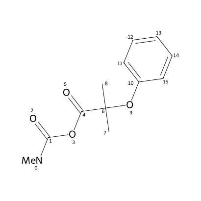 CNC(=O)OC(=O)C(C)(C)Oc1ccccc1